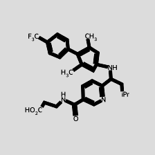 Cc1cc(NC(CC(C)C)c2ccc(C(=O)NCCC(=O)O)cn2)cc(C)c1-c1ccc(C(F)(F)F)cc1